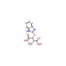 CC(C(=O)O)C(Sc1nc2ccccc2[nH]1)C(=O)O